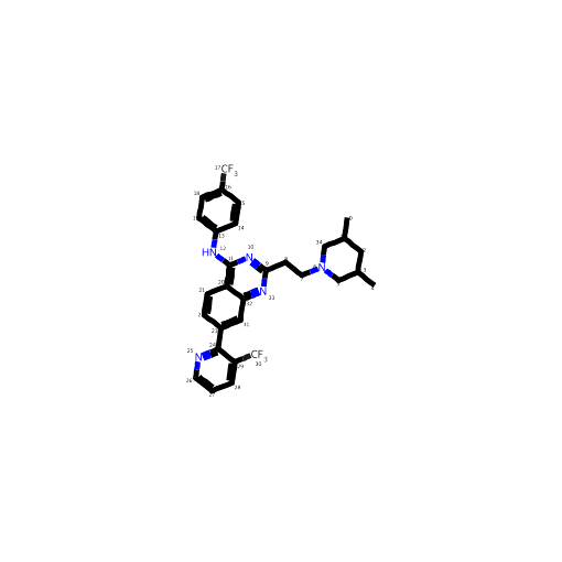 CC1CC(C)CN(CCc2nc(Nc3ccc(C(F)(F)F)cc3)c3ccc(-c4ncccc4C(F)(F)F)cc3n2)C1